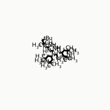 CCCCCC(NC1CC(C)(C)NC(C)(C)C1)N(C(=N)/N=C(\N)NC(C)(C)CC(C)(C)C)C1CC(C)(C)NC(C)(C)C1